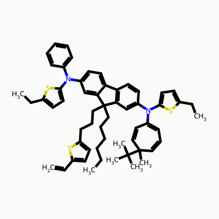 C=Cc1ccc(CCCC2(CCCCCC)c3cc(N(C4=CC=CC(C)(C(C)(C)C)C=C4)c4ccc(CC)s4)ccc3-c3ccc(N(c4ccccc4)c4ccc(CC)s4)cc32)s1